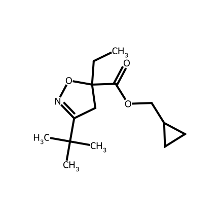 CCC1(C(=O)OCC2CC2)CC(C(C)(C)C)=NO1